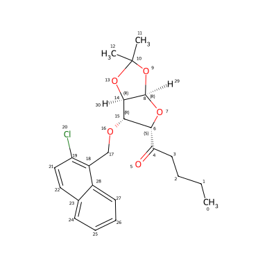 CCCCC(=O)[C@H]1O[C@@H]2OC(C)(C)O[C@@H]2[C@H]1OCc1c(Cl)ccc2ccccc12